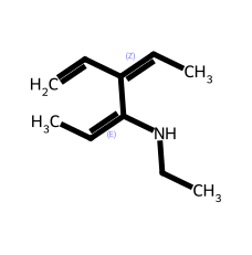 C=CC(=C/C)/C(=C\C)NCC